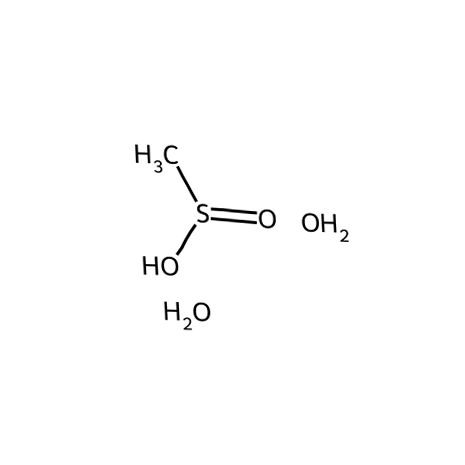 CS(=O)O.O.O